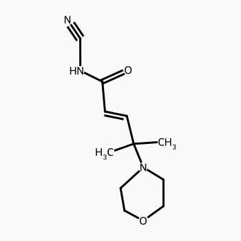 CC(C)(C=CC(=O)NC#N)N1CCOCC1